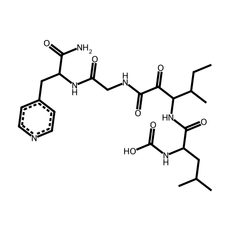 CCC(C)C(NC(=O)C(CC(C)C)NC(=O)O)C(=O)C(=O)NCC(=O)NC(Cc1ccncc1)C(N)=O